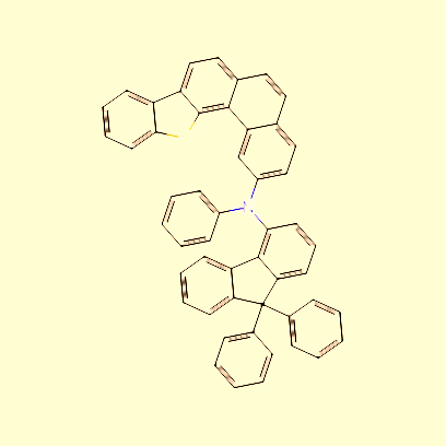 c1ccc(N(c2ccc3ccc4ccc5c6ccccc6sc5c4c3c2)c2cccc3c2-c2ccccc2C3(c2ccccc2)c2ccccc2)cc1